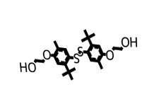 Cc1cc(SSc2cc(C)c(OCCO)cc2C(C)(C)C)c(C(C)(C)C)cc1OCCO